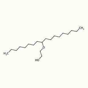 CCCCCCCCCC(CCCCCCCC)OCCO